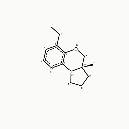 CCc1ccnc2c1OC[C@]1(C)CCCN21